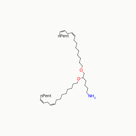 CCCCC/C=C\C/C=C\CCCCCCCCOCC(CCCCN)OCCCCCCCC/C=C\C/C=C\CCCCC